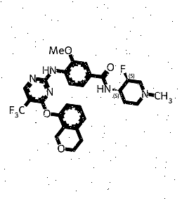 COc1cc(C(=O)N[C@H]2CCN(C)C[C@@H]2F)ccc1Nc1ncc(C(F)(F)F)c(Oc2cccc3c2COCC3)n1